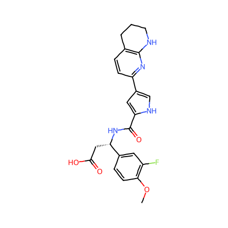 COc1ccc([C@H](CC(=O)O)NC(=O)c2cc(-c3ccc4c(n3)NCCC4)c[nH]2)cc1F